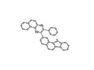 c1ccc(-c2nc3ccc4ccccc4c3nc2-c2ccc3ccc4c5ccccc5sc4c3c2)cc1